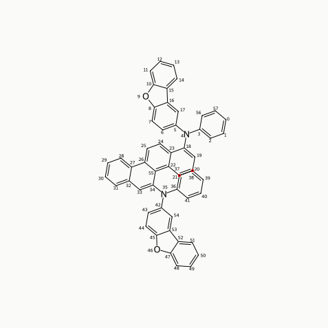 c1ccc(N(c2ccc3oc4ccccc4c3c2)c2cccc3c2ccc2c4ccccc4cc(N(c4ccccc4)c4ccc5oc6ccccc6c5c4)c32)cc1